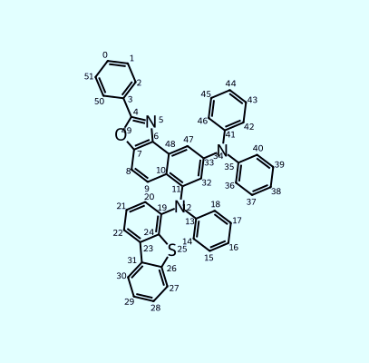 c1ccc(-c2nc3c(ccc4c(N(c5ccccc5)c5cccc6c5sc5ccccc56)cc(N(c5ccccc5)c5ccccc5)cc43)o2)cc1